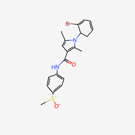 Cc1cc(C(=O)Nc2ccc([S+](C)[O-])cc2)c(C)n1C1CC=CC=C1Br